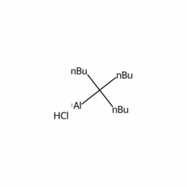 CCCC[C]([Al])(CCCC)CCCC.Cl